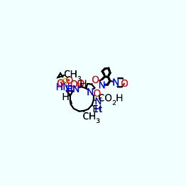 CC[C@@H]1C[C@@H](C)CCC=C[C@@H]2C[C@@]2(C(=O)NS(=O)(=O)C2(C)CC2)NC(=O)[C@@H]2C[C@@H](Oc3ncc(N4CCOCC4)c4ccccc34)CN2C(=O)[C@H]1NC(=O)O